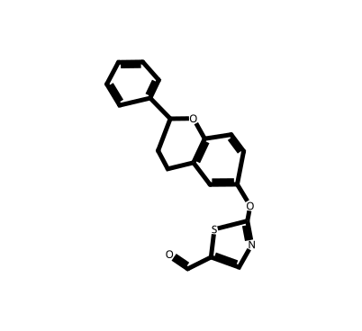 O=Cc1cnc(Oc2ccc3c(c2)CCC(c2ccccc2)O3)s1